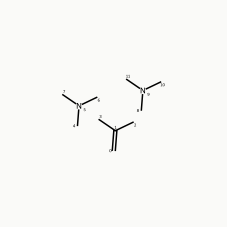 C=C(C)C.CN(C)C.CN(C)C